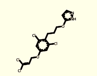 ClC(Cl)=CCOc1cc(Cl)c(CCCOc2ccn[nH]2)c(Cl)c1